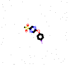 CS(=O)(=O)c1cnc(Oc2ccc(I)cc2)cn1